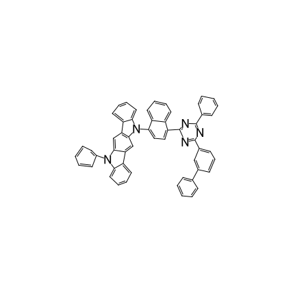 c1ccc(-c2cccc(-c3nc(-c4ccccc4)nc(-c4ccc(-n5c6ccccc6c6cc7c(cc65)c5ccccc5n7-c5ccccc5)c5ccccc45)n3)c2)cc1